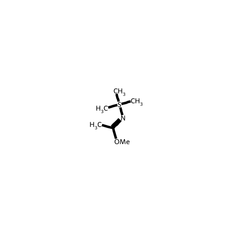 CO/C(C)=N/S(C)(C)C